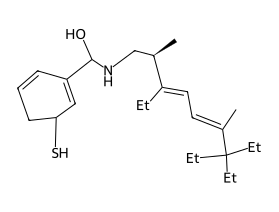 CC/C(=C\C=C(/C)C(CC)(CC)CC)[C@H](C)CNC(O)C1=CC(S)CC=C1